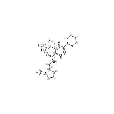 CC(C)[C@H](NC(=O)C1CCCCC1)C(=O)C(=O)N/N=C1\SCCN1C.Cl